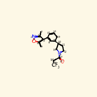 Cc1noc(C)c1C1=CC([C@H]2CCN(C(=O)CC(F)(F)F)C2)CC=C1